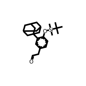 CC(C)(C)[Si](C)(C)Oc1ccc(CC=O)cc1C12CC3CC(CC(C3)C1)C2